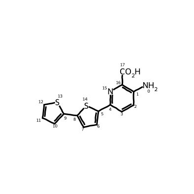 Nc1ccc(-c2ccc(-c3cccs3)s2)nc1C(=O)O